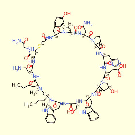 CCCC[C@H]1CN(C)[C@@H](CCCC)C(=O)N[C@@H](CCN)C(=O)N[C@H](C(=O)NCC(N)=O)CSCC(=O)N[C@@H](Cc2ccc(O)cc2)C(=O)N(C)[C@@H](C)C(=O)N[C@@H](CC(N)=O)C(=O)N2CCC[C@H]2C(=O)N[C@@H](Cc2cnc[nH]2)C(=O)N[C@@H](CCC(=O)O)C(=O)N2C[C@H](O)C[C@H]2C(=O)N[C@@H](Cc2c[nH]c3ccccc23)C(=O)N[C@@H](CO)C(=O)N[C@@H](Cc2c[nH]c3ccccc23)C(=O)N1C